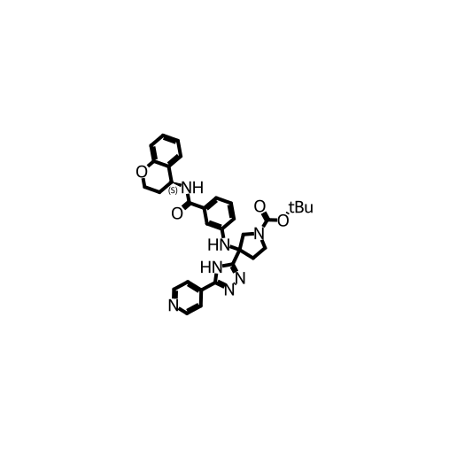 CC(C)(C)OC(=O)N1CCC(Nc2cccc(C(=O)N[C@H]3CCOc4ccccc43)c2)(c2nnc(-c3ccncc3)[nH]2)C1